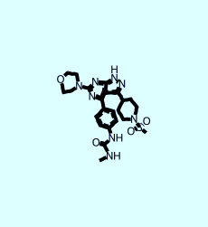 CNC(=O)Nc1ccc(-c2nc(N3CCOCC3)nc3[nH]nc(C4CCN(S(C)(=O)=O)CC4)c23)cc1